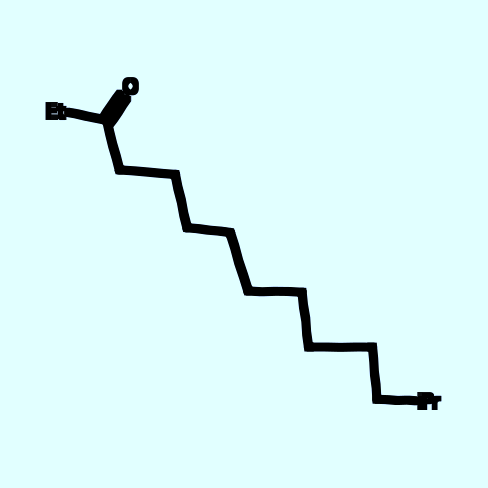 CCC(=O)CCCCCCCCCC(C)C